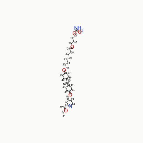 C=C(OCC)c1cc(COc2ccc(C(C)(C)c3ccc(OCCCCCCCCOCCCCOC(N)=O)cc3)cc2)ccn1